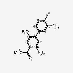 COC(=O)c1cc(C(F)(F)F)c(-c2cc(C)c(F)cn2)cc1N